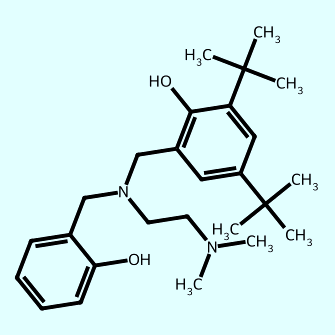 CN(C)CCN(Cc1ccccc1O)Cc1cc(C(C)(C)C)cc(C(C)(C)C)c1O